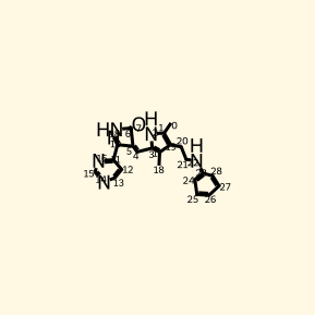 Cc1[nH]c(C=C2C(=O)NN=C2c2ccncn2)c(C)c1CCNc1ccccc1